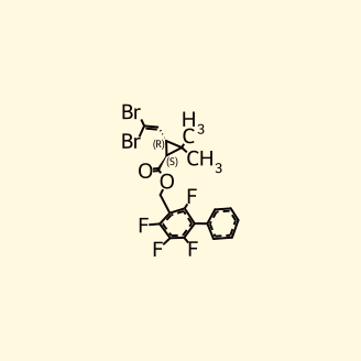 CC1(C)[C@@H](C=C(Br)Br)[C@@H]1C(=O)OCc1c(F)c(F)c(F)c(-c2ccccc2)c1F